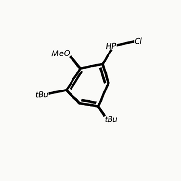 COc1c(PCl)cc(C(C)(C)C)cc1C(C)(C)C